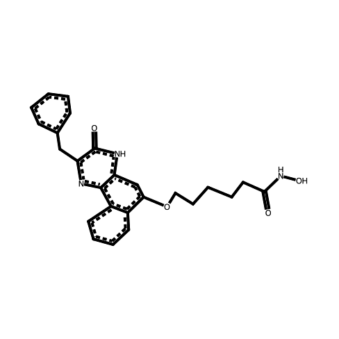 O=C(CCCCCOc1cc2[nH]c(=O)c(Cc3ccccc3)nc2c2ccccc12)NO